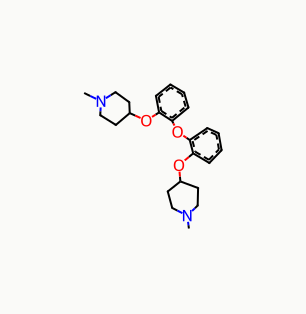 CN1CCC(Oc2ccccc2Oc2ccccc2OC2CCN(C)CC2)CC1